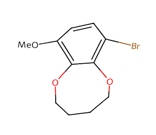 COc1ccc(Br)c2c1OCCCCO2